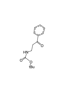 CC(C)(C)OC(=O)NCCC(=O)c1ccccc1